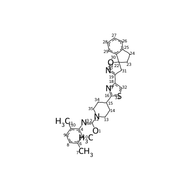 COC(=Nc1cc(C)ccc1C)N1CCC(c2nc(C3=NOC4(CCc5ccccc54)C3)cs2)CC1